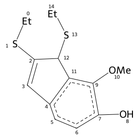 CCSC1=Cc2ccc(O)c(OC)c2C1SCC